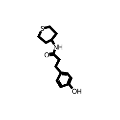 O=C(CCc1ccc(O)cc1)NC1CCSCC1